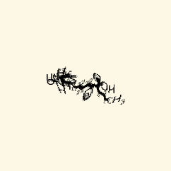 CCCCC(C(=O)O)C(=O)CCCC[C@@H]1SC[C@@H]2NC(=O)N[C@@H]21